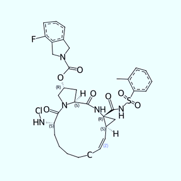 Cc1ccccc1S(=O)(=O)NC(=O)[C@@]12C[C@H]1/C=C\CCCCC[C@H](NCl)C(=O)N1C[C@H](OC(=O)N3Cc4cccc(F)c4C3)C[C@H]1C(=O)N2